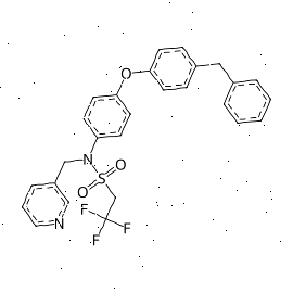 O=S(=O)(CC(F)(F)F)N(Cc1cccnc1)c1ccc(Oc2ccc(Cc3ccccc3)cc2)cc1